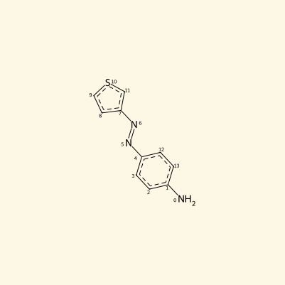 Nc1ccc(N=Nc2ccsc2)cc1